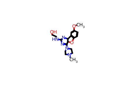 COc1ccc2c(c1)C1N=C(NCCO)N=C(N3CCN(C)CC3)C1O2